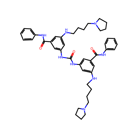 O=C(Nc1cc(NCCCCN2CCCC2)cc(C(=O)Nc2ccccc2)c1)Nc1cc(NCCCCN2CCCC2)cc(C(=O)Nc2ccccc2)c1